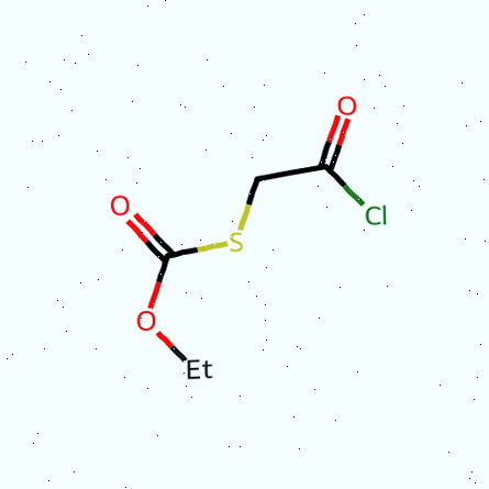 CCOC(=O)SCC(=O)Cl